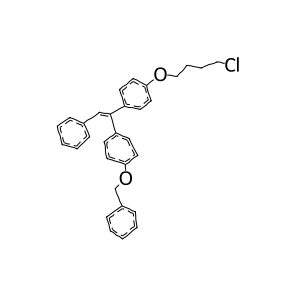 ClCCCCOc1ccc(C(=Cc2ccccc2)c2ccc(OCc3ccccc3)cc2)cc1